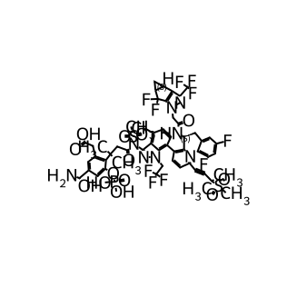 CC(C)(CC(=O)N(c1nn(CC(F)(F)F)c2c(-c3ccc(C#CC(C)(C)S(C)(=O)=O)nc3[C@H](Cc3cc(F)cc(F)c3)NC(=O)Cn3nc(C(F)(F)F)c4c3C(F)(F)C3C[C@H]43)ccc(Cl)c12)S(C)(=O)=O)c1c(CC(=O)O)cc(C(N)O)cc1OP(=O)(O)O